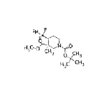 [2H]C(F)(F)[C@H]1CCN(C(=O)OC(C)(C)C)C[C@@]1(C)C(=O)OC